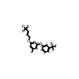 Cc1cc(OCC=CC(F)(F)F)nc(Oc2cccc(C(F)(F)F)c2)c1